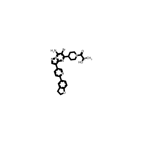 C[C@@H](O)C(=O)N1CCC(c2nc3c(-c4ccc(-c5ccc6c(c5)CCO6)nc4)cnn3c(N)c2Br)CC1